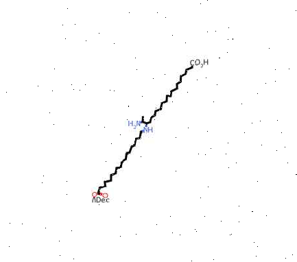 CCCCCCCCCCOC(=O)CCCCCCCCCCCCCCCCCNC(CCCCCCCCCCCCCCCCCC(=O)O)C(C)N